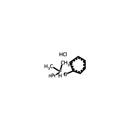 CCC[PH](C)(C)Oc1ccccc1.Cl